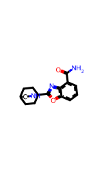 NC(=O)c1cccc2oc(C34CCC(CC3)CN4)nc12